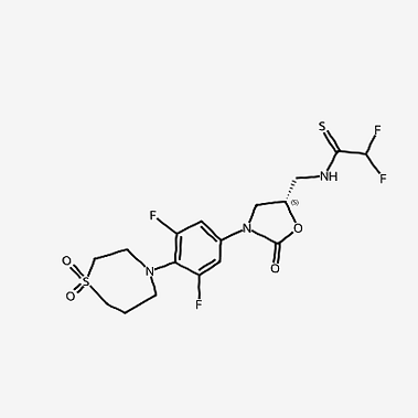 O=C1O[C@@H](CNC(=S)C(F)F)CN1c1cc(F)c(N2CCCS(=O)(=O)CC2)c(F)c1